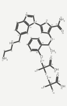 C[C@@H](Oc1cc(-n2cnc3ccc(CNCCN)cc32)sc1C(N)=O)c1ccccc1Cl.O=C(O)C(F)(F)F.O=C(O)C(F)(F)F